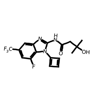 CC(C)(O)CC(=O)Nc1nc2cc(C(F)(F)F)cc(F)c2n1C1=CC=C1